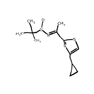 CC(=N[S+]([O-])C(C)(C)C)c1nc(C2CC2)cs1